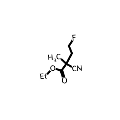 CCOC(=O)C(C)(C#N)CCF